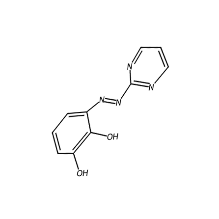 Oc1cccc(/N=N/c2ncccn2)c1O